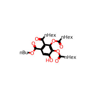 CCCCCCC(=O)Oc1c(O)cc(C(=O)OCCCC)c(C(=O)CCCCCC)c1OC(=O)CCCCCC